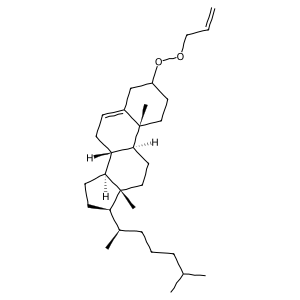 C=CCOOC1CC[C@@]2(C)C(=CC[C@H]3[C@@H]4CC[C@H]([C@H](C)CCCC(C)C)[C@@]4(C)CC[C@@H]32)C1